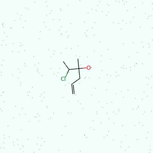 C=CCC(C)([O])C(C)Cl